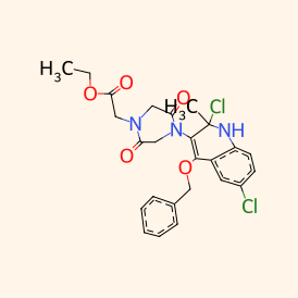 CCOC(=O)CN1CC(=O)N(C2=C(OCc3ccccc3)c3cc(Cl)ccc3NC2(C)Cl)CC1=O